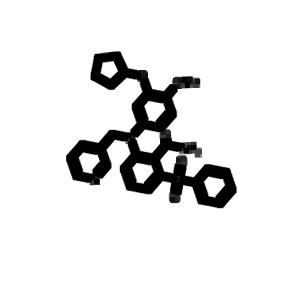 COc1ccc(N(Cc2cccnc2)c2cccc(S(=O)(=O)c3ccccc3)c2C(N)=O)cc1OC1CCCC1